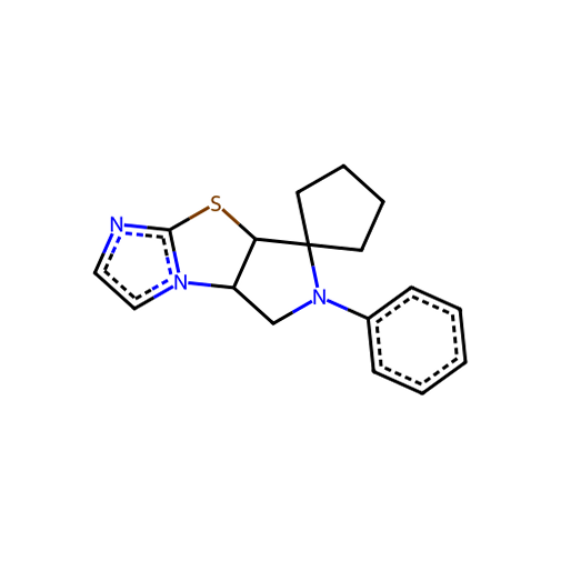 c1ccc(N2CC3C(Sc4nccn43)C23CCCC3)cc1